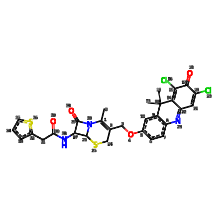 CC1=C(COc2ccc3c(c2)C(C)(C)C2=C(Cl)C(=O)C(Cl)=CC2=N3)CSC2C(NC(=O)Cc3cccs3)C(=O)N12